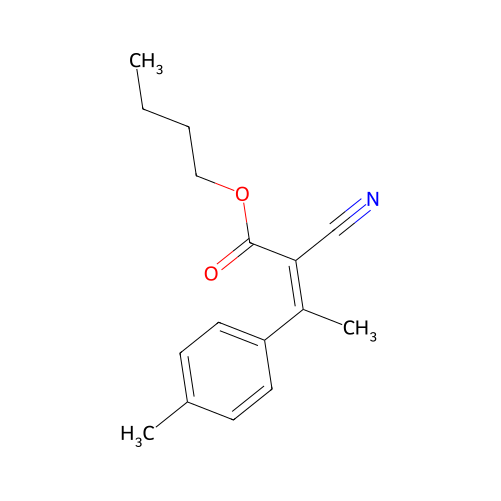 CCCCOC(=O)/C(C#N)=C(/C)c1ccc(C)cc1